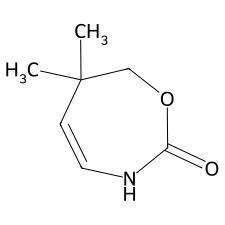 CC1(C)C=CNC(=O)OC1